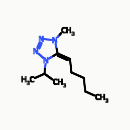 CCCCC=C1N(C)N=NN1C(C)C